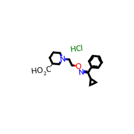 Cl.O=C(O)[C@@H]1CCCN(CCON=C(c2ccccc2)C2CC2)C1